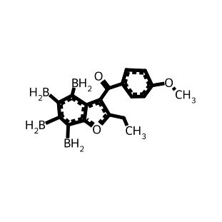 Bc1c(B)c(B)c2c(C(=O)c3ccc(OC)cc3)c(CC)oc2c1B